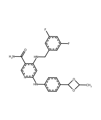 CC1OC(c2ccc(Nc3cc(NCc4cc(F)cc(F)c4)c(C(N)=O)cn3)cc2)O1